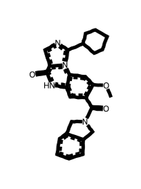 COc1cc2c(cc1C(=O)N1Cc3ccccc3C1)[nH]c(=O)c1cnc(C3CCCCC3)n12